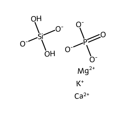 O=P([O-])([O-])[O-].[Ca+2].[K+].[Mg+2].[O-][Si]([O-])(O)O